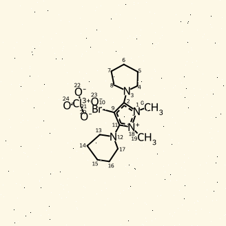 Cn1c(N2CCCCC2)c(Br)c(N2CCCCC2)[n+]1C.[O-][Cl+3]([O-])([O-])[O-]